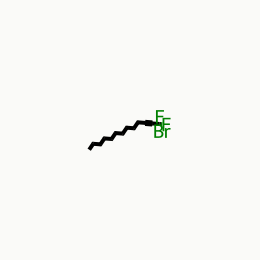 CCCCCCCCCCC#CC(F)(F)Br